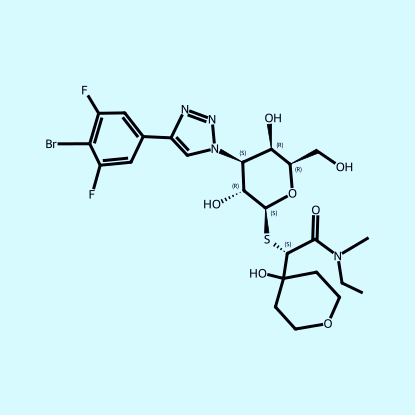 CCN(C)C(=O)[C@@H](S[C@@H]1O[C@H](CO)[C@H](O)[C@H](n2cc(-c3cc(F)c(Br)c(F)c3)nn2)[C@H]1O)C1(O)CCOCC1